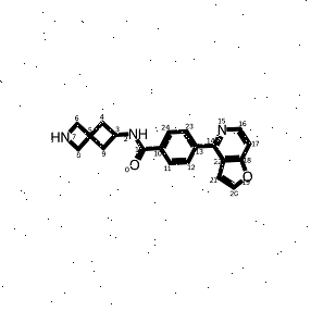 O=C(NC1CC2(CNC2)C1)c1ccc(-c2nccc3occc23)cc1